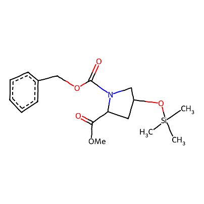 COC(=O)C1CC(O[Si](C)(C)C)CN1C(=O)OCc1ccccc1